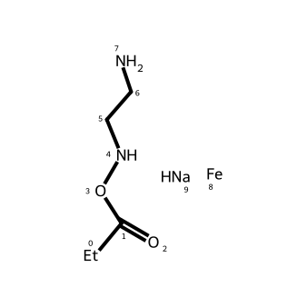 CCC(=O)ONCCN.[Fe].[NaH]